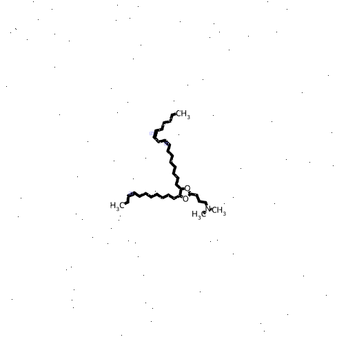 CC/C=C\CCCCCCCC1OC(CCCN(C)C)OC1CCCCCCC/C=C\C/C=C\CCCCC